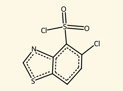 O=S(=O)(Cl)c1c(Cl)ccc2scnc12